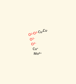 [Cu+].[Cu+].[Cu].[Mo+6].[O-2].[O-2].[O-2].[O-2]